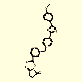 COc1ccc(-c2cnc(-c3cc[n+](Cc4cccc(C(=O)ON5C(=O)CCC5=O)c4)cc3)o2)cc1